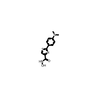 CN(C)c1ccc(-c2nc(C(=O)NO)cs2)cc1